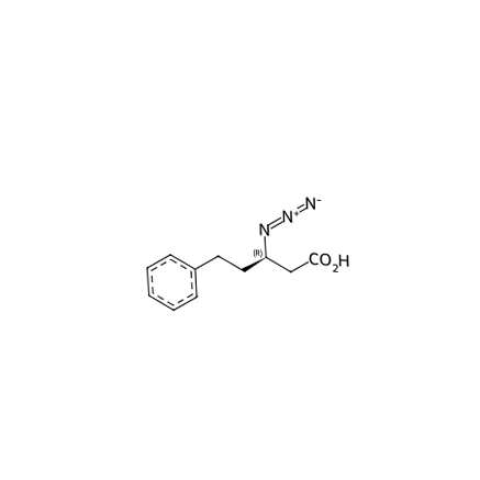 [N-]=[N+]=N[C@H](CCc1ccccc1)CC(=O)O